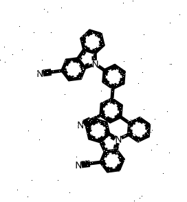 N#Cc1cc(-c2cccc(-n3c4ccccc4c4cc(C#N)ccc43)c2)cc(-c2ccccc2-n2c3ccccc3c3c(C#N)cccc32)c1